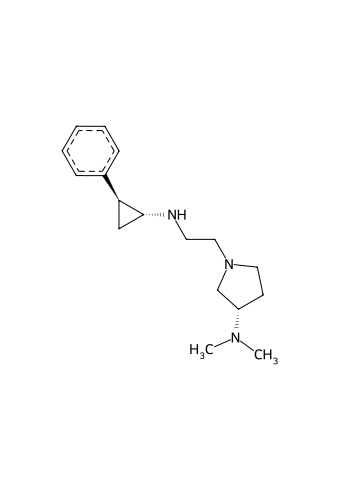 CN(C)[C@H]1CCN(CCN[C@@H]2C[C@H]2c2ccccc2)C1